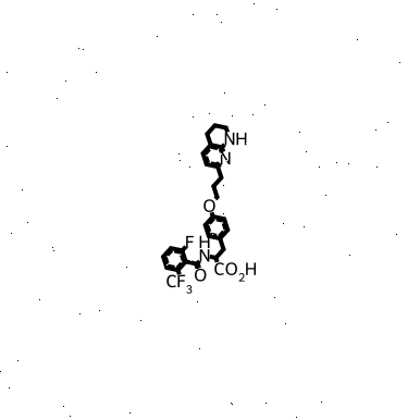 O=C(NC(Cc1ccc(OCCCc2ccc3c(n2)NCCC3)cc1)C(=O)O)c1c(F)cccc1C(F)(F)F